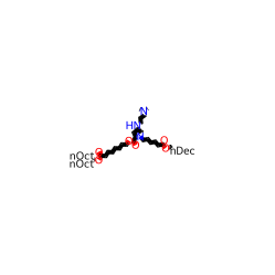 CCCCCCCCCCCOC(=O)CCCCCN1C[C@@H](NCCCN(C)C)CC1C(=O)OCCCCCCCC(=O)OC(CCCCCCCC)CCCCCCCC